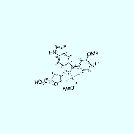 COCC(C)(C)c1c([C@@H]2COC(C(=O)O)C2)c2cc3[nH]ncc3cc2n1-c1ccc(F)c(OC)c1